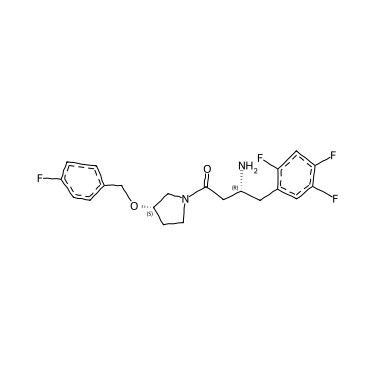 N[C@@H](CC(=O)N1CC[C@H](OCc2ccc(F)cc2)C1)Cc1cc(F)c(F)cc1F